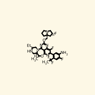 CC[C@@H]1CN2c3nc(OC[C@@]45CCCN4C[C@H](F)C5)nc4c(F)c(-c5cc(N)c(F)cc5C(C)(F)F)nc(c34)O[C@@H](C)[C@@H]2CN1